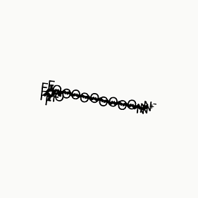 [N-]=[N+]=NCCOCCOCCOCCOCCOCCOCCOCCOCC(=O)Oc1c(F)c(F)c(F)c(F)c1F